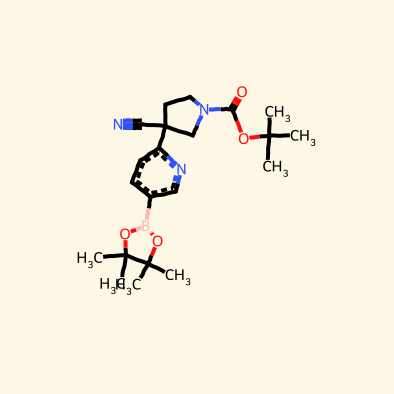 CC(C)(C)OC(=O)N1CCC(C#N)(c2ccc(B3OC(C)(C)C(C)(C)O3)cn2)C1